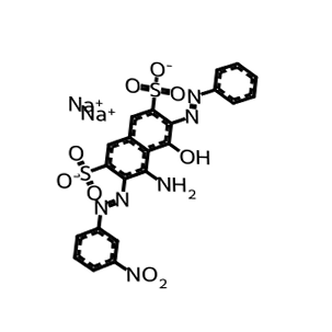 Nc1c(/N=N/c2cccc([N+](=O)[O-])c2)c(S(=O)(=O)[O-])cc2cc(S(=O)(=O)[O-])c(/N=N/c3ccccc3)c(O)c12.[Na+].[Na+]